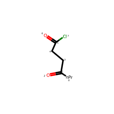 CCCC(=O)CCC(=O)Cl